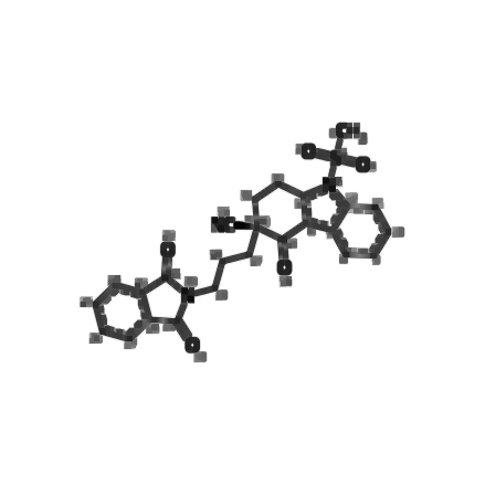 CS(=O)(=O)n1c2c(c3ccccc31)C(=O)[C@](C#N)(CCCN1C(=O)c3ccccc3C1=O)CC2